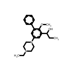 CCC(O)c1cc(N2CCN(CC)CC2)cc(-c2ccccc2)c1OC